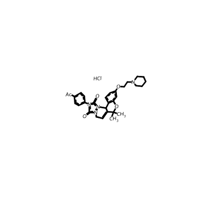 CC(=O)c1ccc(-n2c(=O)n3n(c2=O)C2C(=CC3)C(C)(C)Oc3cc(OCCN4CCCCC4)ccc32)cc1.Cl